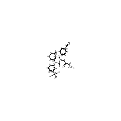 COC(=O)CN1C(=O)N(c2cccc(C(F)(F)F)c2)C2=C(C(=O)CCC2)[C@@H]1c1ccc(C#N)cc1